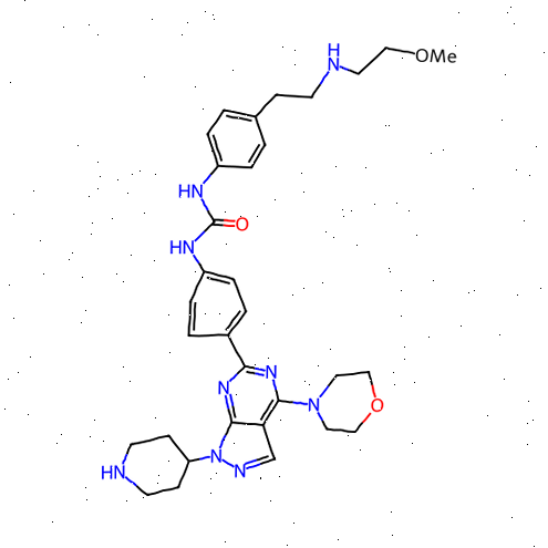 COCCNCCc1ccc(NC(=O)Nc2ccc(-c3nc(N4CCOCC4)c4cnn(C5CCNCC5)c4n3)cc2)cc1